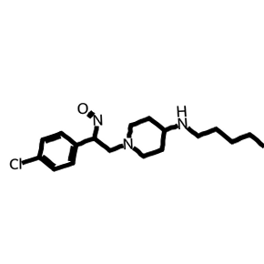 O=NC(CN1CCC(NCCCCI)CC1)c1ccc(Cl)cc1